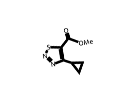 COC(=O)c1snnc1C1CC1